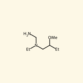 CCC(CN(CC)CN)OC